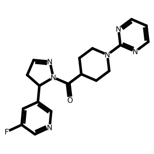 O=C(C1CCN(c2ncccn2)CC1)N1N=CCC1c1cncc(F)c1